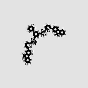 CC1(C)c2ccccc2-c2ccc(-c3cccc(-c4nnc(-c5cc(-c6ccccc6)cc(-c6nnc(-c7cccc(-c8ccc9c(c8)C(C)(C)c8ccccc8-9)n7)s6)c5)s4)n3)cc21